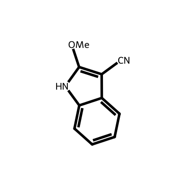 COc1[nH]c2ccccc2c1C#N